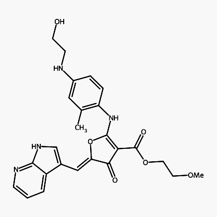 COCCOC(=O)C1=C(Nc2ccc(NCCO)cc2C)O/C(=C\c2c[nH]c3ncccc23)C1=O